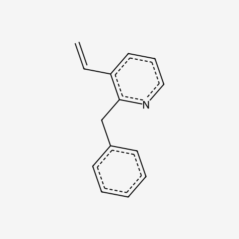 C=Cc1cccnc1Cc1ccccc1